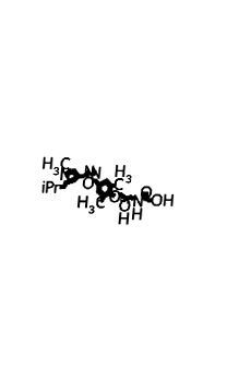 Cc1cc(-c2nnc(-c3cc(C)c(OC[C@@H](O)CNC(=O)CO)c(C)c3)o2)cc(CC(C)C)n1